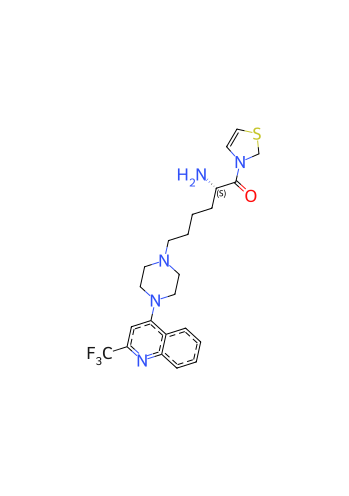 N[C@@H](CCCCN1CCN(c2cc(C(F)(F)F)nc3ccccc23)CC1)C(=O)N1C=CSC1